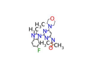 Cc1nc2ccc(F)cc2n1-c1nc(N=S(C)(C)=O)cc(N2CCOC[C@H]2C)n1